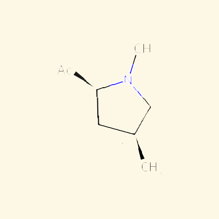 CC(=O)[C@@H]1C[C@H](C)CN1C